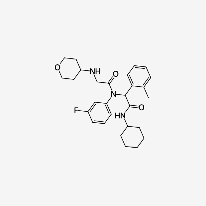 Cc1ccccc1C(C(=O)NC1CCCCC1)N(C(=O)CNC1CCOCC1)c1cccc(F)c1